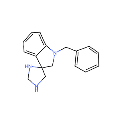 c1ccc(CN2CC3(CNCN3)c3ccccc32)cc1